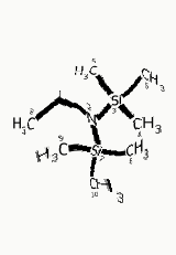 CCN([Si](C)(C)C)[Si](C)(C)C